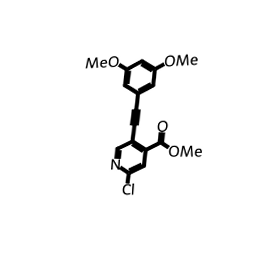 COC(=O)c1cc(Cl)ncc1C#Cc1cc(OC)cc(OC)c1